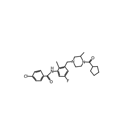 Cc1c(CN2CCN(C(=O)C3CCCC3)C(C)C2)cc(F)cc1NC(=O)c1ccc(Cl)cc1